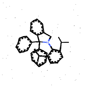 CC(C)c1cccc(C(C)C)c1N1Cc2ccccc2C1(c1ccccc1)c1ccccc1